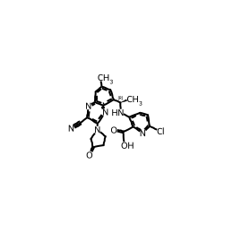 Cc1cc([C@@H](C)Nc2ccc(Cl)nc2C(=O)O)c2nc(N3CCC(=O)C3)c(C#N)nc2c1